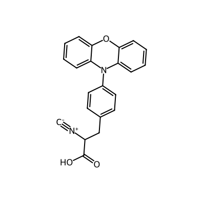 [C-]#[N+]C(Cc1ccc(N2c3ccccc3Oc3ccccc32)cc1)C(=O)O